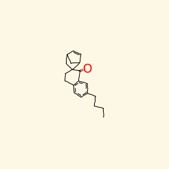 CCCCc1ccc2c(c1)C(=O)C1(CC2)CC2C=CC1C2